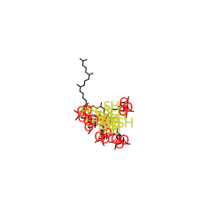 CCO[Si](CCCS(S)(SS)C(=C(C)C(C(CC(C)CCCC(C)CCCCC(C)CCCC(C)CCCC(C)C)S(S)(CCC[Si](OCC)(OCC)OCC)SS)(S(S)(CCC[Si](OCC)(OCC)OCC)SS)S(S)(CCC[Si](OCC)(OCC)OCC)SS)S(S)(CCC[Si](OCC)(OCC)OCC)SS)(OCC)OCC